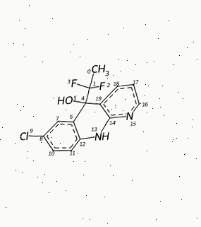 CC(F)(F)C1(O)c2cc(Cl)ccc2Nc2ncccc21